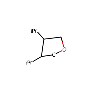 CC(C)C1COCC1C(C)C